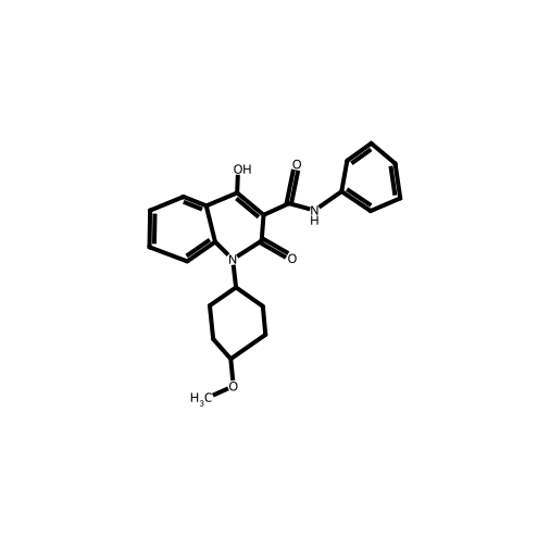 COC1CCC(n2c(=O)c(C(=O)Nc3ccccc3)c(O)c3ccccc32)CC1